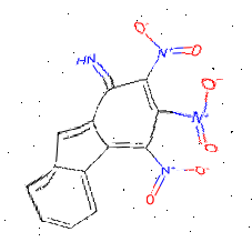 N=C1C2=Cc3ccccc3C2=C([N+](=O)[O-])C([N+](=O)[O-])=C1[N+](=O)[O-]